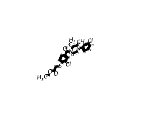 CCOC(=O)CSc1ccc(C(=O)N2CCN(c3cccc(Cl)c3)[C@H](C)C2C)cc1Cl